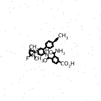 CC#Cc1ccc(-c2ccccc2NC(=O)c2ccc(C(=O)O)cc2C(N)=O)cc1.Cc1cc(F)n(C)n1